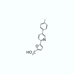 Cc1ccc(-c2ccc(-c3ccc(C(=O)O)o3)nc2)cc1